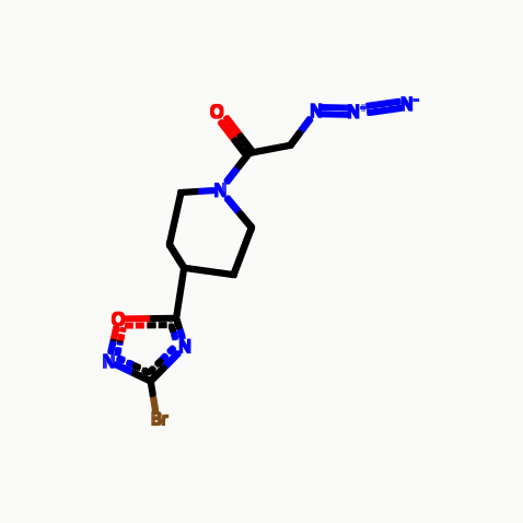 [N-]=[N+]=NCC(=O)N1CCC(c2nc(Br)no2)CC1